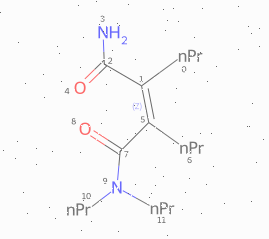 CCC/C(C(N)=O)=C(\CCC)C(=O)N(CCC)CCC